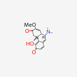 COC1=CC2[C@@H](N(C)C)C=C3C=CC(=O)C(O)=C3[C@]2(C)CC1=O